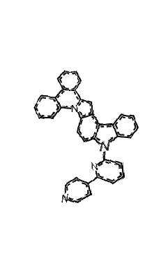 c1cc(-c2ccncc2)nc(-n2c3ccccc3c3c4cc5c6ccccc6c6ccccc6n5c4ccc32)c1